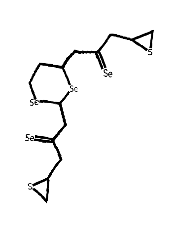 [Se]=C(CC1CS1)CC1CC[Se]C(CC(=[Se])CC2CS2)[Se]1